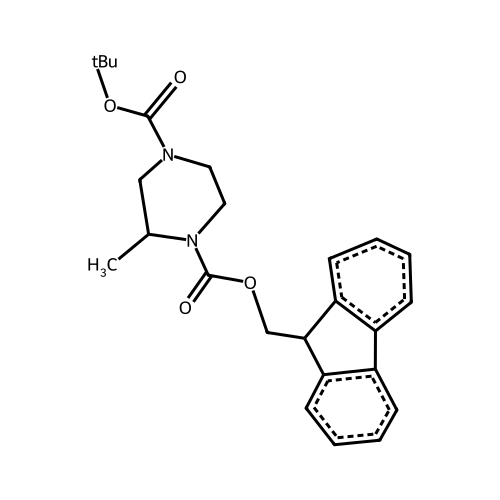 CC1CN(C(=O)OC(C)(C)C)CCN1C(=O)OCC1c2ccccc2-c2ccccc21